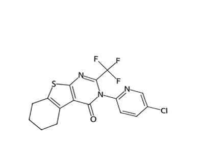 O=c1c2c3c(sc2nc(C(F)(F)F)n1-c1ccc(Cl)cn1)CCCC3